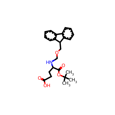 CC(C)(C)OC(=O)C(CCC(=O)O)NCOCC1c2ccccc2-c2ccccc21